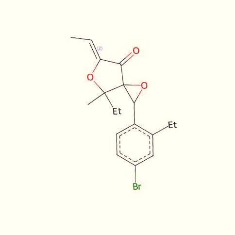 C/C=C1\OC(C)(CC)C2(OC2c2ccc(Br)cc2CC)C1=O